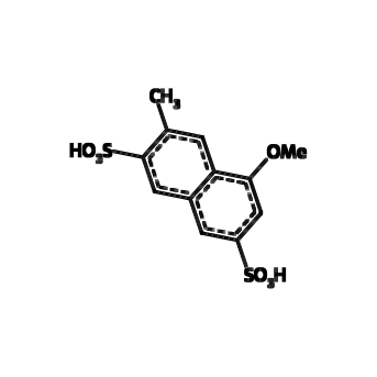 COc1cc(S(=O)(=O)O)cc2cc(S(=O)(=O)O)c(C)cc12